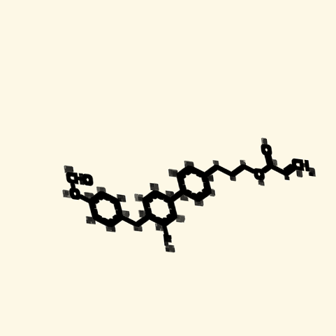 C=CC(=O)OCCCc1ccc(-c2ccc(Cc3ccc(OC=O)cc3)c(F)c2)cc1